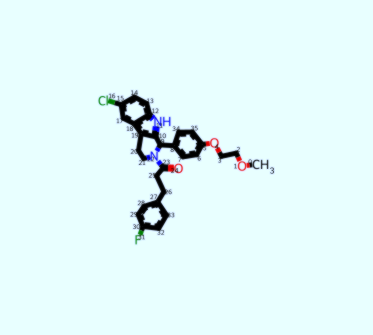 COCCOc1ccc(C2c3[nH]c4ccc(Cl)cc4c3CCN2C(=O)CCc2ccc(F)cc2)cc1